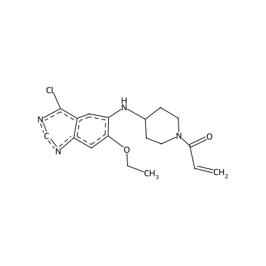 C=CC(=O)N1CCC(Nc2cc3c(Cl)ncnc3cc2OCC)CC1